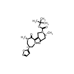 C[C@@H]1Cc2nn3c(c2CN1C(=O)OC(C)(C)C)C(=O)N(C)C[C@H](c1ccno1)C3